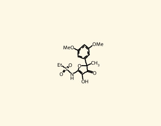 CCS(=O)(=O)NC1=C(O)C(=O)C(C)(c2cc(OC)cc(OC)c2)O1